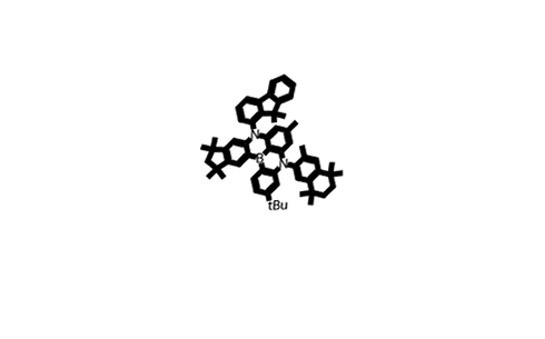 Cc1cc2c3c(c1)N(c1cccc4c1C(C)(C)c1ccccc1-4)c1cc4c(cc1B3c1ccc(C(C)(C)C)cc1N2c1cc2c(cc1C)C(C)(C)CCC2(C)C)C(C)(C)CC4(C)C